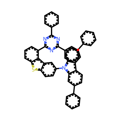 c1ccc(-c2ccc3c(c2)c2ccc(-c4ccccc4)cc2n3-c2ccc3sc4cccc(-c5nc(-c6ccccc6)nc(-c6ccccc6)n5)c4c3c2)cc1